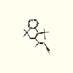 C/C(=C\C#N)C1=C(C(C)(C)C)c2ccccc2C(C)(C)C1